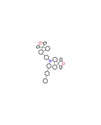 c1ccc(-c2ccc(-c3ccc(N(c4ccc(-c5cccc6c5-c5ccccc5C65c6ccccc6Oc6ccccc65)cc4)c4cccc5c4-c4ccccc4C54c5ccccc5Oc5ccccc54)cc3)cc2)cc1